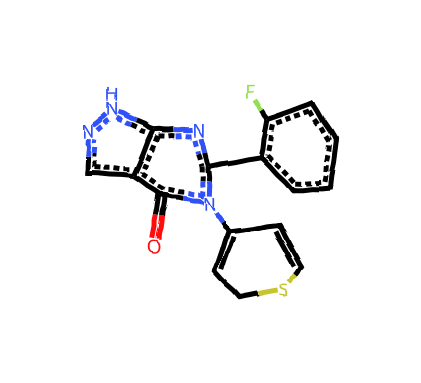 O=c1c2cn[nH]c2nc(-c2ccccc2F)n1C1=CCSC=C1